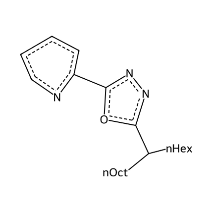 CCCCCCCCC(CCCCCC)c1nnc(-c2ccccn2)o1